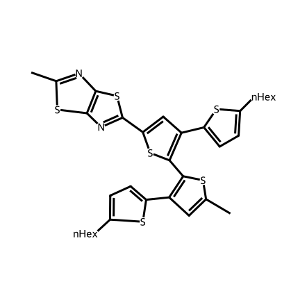 CCCCCCc1ccc(-c2cc(C)sc2-c2sc(-c3nc4sc(C)nc4s3)cc2-c2ccc(CCCCCC)s2)s1